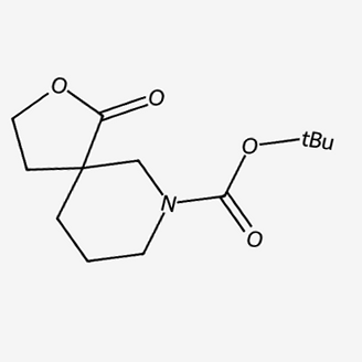 CC(C)(C)OC(=O)N1CCCC2(CCOC2=O)C1